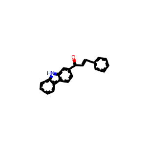 O=C(C=Cc1ccccc1)c1ccc2c(c1)[nH]c1ccccc12